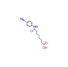 N#Cc1ccc(NC(=O)CCCCCCC(=O)O)cc1